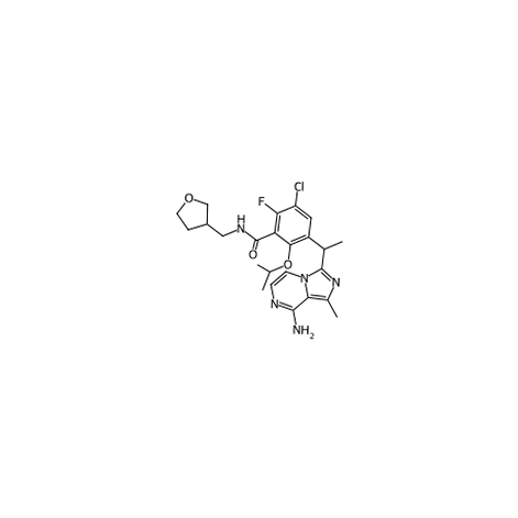 Cc1nc(C(C)c2cc(Cl)c(F)c(C(=O)NCC3CCOC3)c2OC(C)C)n2ccnc(N)c12